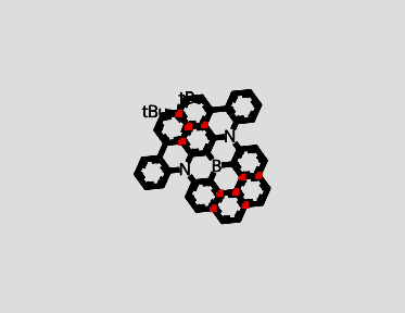 CC(C)(C)c1ccc(-c2ccccc2N2c3cccc(-c4ccccc4)c3B3c4c(-c5ccccc5)cccc4N(c4ccccc4-c4ccc(C(C)(C)C)cc4)c4cccc2c43)cc1